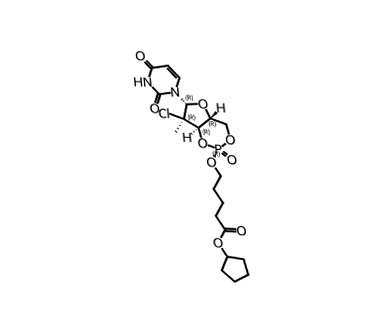 C[C@@]1(Cl)[C@@H]2O[P@](=O)(OCCCCC(=O)OC3CCCC3)OC[C@H]2O[C@H]1n1ccc(=O)[nH]c1=O